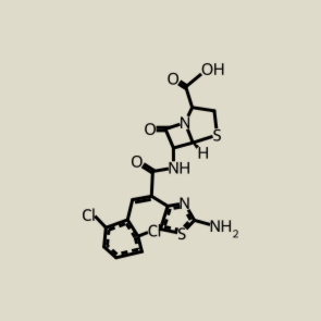 Nc1nc(C(=Cc2c(Cl)cccc2Cl)C(=O)NC2C(=O)N3C(C(=O)O)CS[C@H]23)cs1